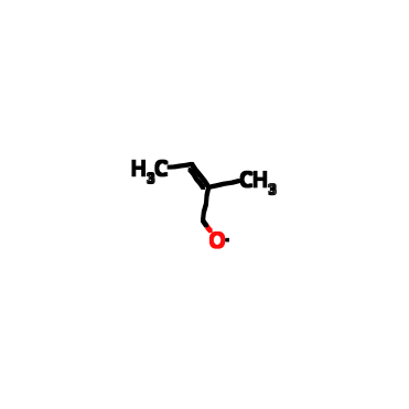 CC=C(C)C[O]